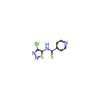 S=C(Nc1snnc1Br)c1ccncc1